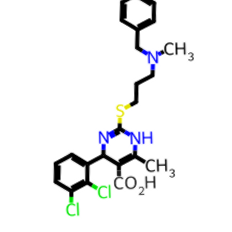 CC1=C(C(=O)O)C(c2cccc(Cl)c2Cl)N=C(SCCCN(C)Cc2ccccc2)N1